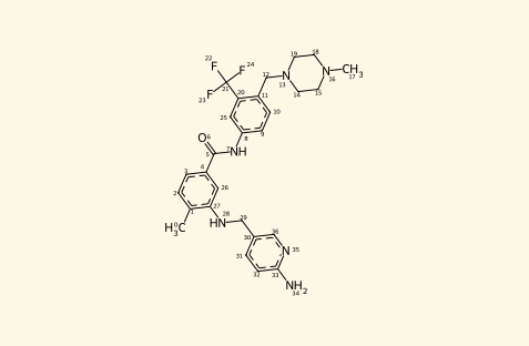 Cc1ccc(C(=O)Nc2ccc(CN3CCN(C)CC3)c(C(F)(F)F)c2)cc1NCc1ccc(N)nc1